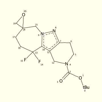 CC(C)(C)OC(=O)N1CCc2nn3c(c2C1)C(F)(F)CCC1(CO1)C3